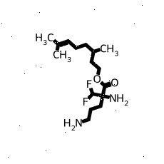 CC(C)=CCCC(C)CCOC(=O)C(N)(CCCN)C(F)F